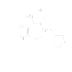 CNC1C(=O)N(CC2CCOC2)CCc2ncoc21